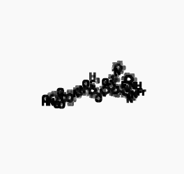 Cc1cc(C(=O)N2CCC3(CC2)C(=O)N([C@H]2C[C@@H](N4CCCCC4)C2)c2cc(-c4cc5ncn(C(C)C)c5c(Nc5ccccc5F)n4)ccc23)ccc1C(=O)N1CCN(c2ccc3c(c2)C(=O)N(C2CCC(=O)NC2=O)C3=O)CC1